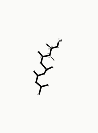 CC(C)CC(C)CC(C)CC(C)[C@@H](C)[C@@H](C)CO